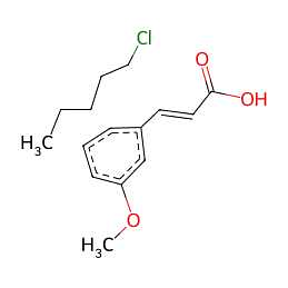 CCCCCCl.COc1cccc(C=CC(=O)O)c1